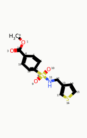 COC(=O)c1ccc(S(=O)(=O)NCc2ccsc2)cc1